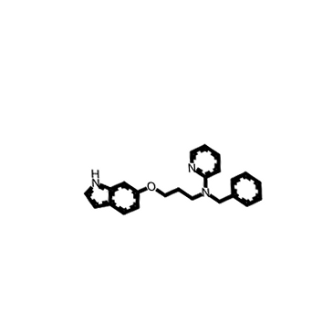 c1ccc(CN(CCCOc2ccc3cc[nH]c3c2)c2ccccn2)cc1